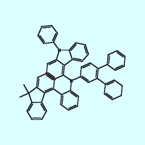 CC1(C)c2ccccc2-c2c(-c3ccccc3N(c3ccc(-c4ccccc4)c(C4=CCCC=C4)c3)c3cccc4c3c3ccccc3n4-c3ccccc3)cccc21